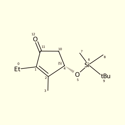 CCC1=C(C)[C@@H](O[Si](C)(C)C(C)(C)C)CC1=O